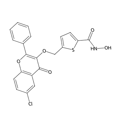 O=C(NO)c1ccc(COc2c(-c3ccccc3)oc3ccc(Cl)cc3c2=O)s1